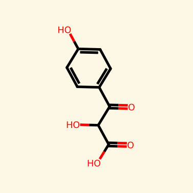 O=C(O)C(O)C(=O)c1ccc(O)cc1